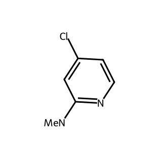 CNc1cc(Cl)ccn1